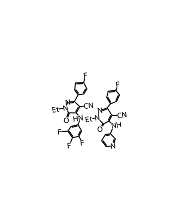 CCn1nc(-c2ccc(F)cc2)c(C#N)c(Nc2cc(F)c(F)c(F)c2)c1=O.CCn1nc(-c2ccc(F)cc2)c(C#N)c(Nc2cccnc2)c1=O